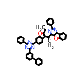 C=Cc1oc2cc(-c3nc(-c4ccccc4)nc(-c4cccc(-c5ccccc5)c4)n3)ccc2c1C(=C)C1=NC(c2ccccc2)=NC2c3ccccc3OC12